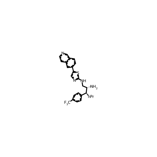 CCC[C@@H](c1ccc(C(F)(F)F)cc1)[C@@H](N)CNc1ncc(-c2ccc3cnccc3c2)s1